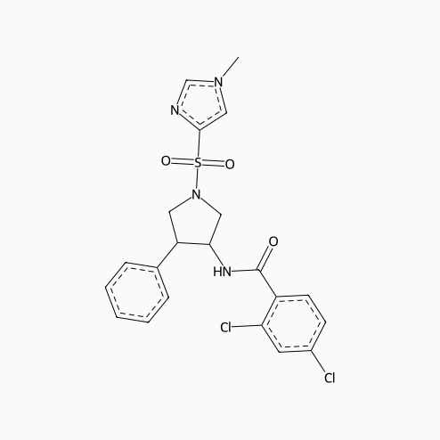 Cn1cnc(S(=O)(=O)N2CC(NC(=O)c3ccc(Cl)cc3Cl)C(c3ccccc3)C2)c1